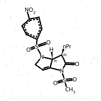 CCC[C@H]1C(=O)N(S(C)(=O)=O)C2=CCN(S(=O)(=O)c3ccc([N+](=O)[O-])cc3)[C@@H]21